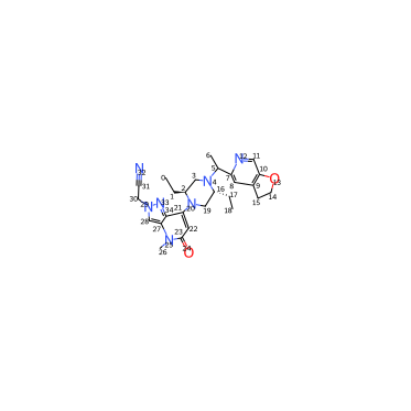 CC[C@H]1CN(C(C)c2cc3c(cn2)OCC3)[C@H](CC)CN1c1cc(=O)n(C)c2cn(CC#N)nc12